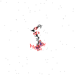 CC(C)OC[C@@H]1C[C@H]1C(=O)OCCCC[C@H](CON(O)O)ON(O)O